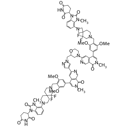 COc1cc(-c2cn(C)c(=O)c3cnc(-c4cnn(CC5CN(c6cc7c(-c8cc(OC)c(CN9CCC%10(CN(c%11cccc%12c%11n(C)c(=O)n%12C%11CCC(=O)NC%11=O)C%10)C(F)(F)C9)c(OC)c8)cn(C)c(=O)c7cn6)CCO5)c4)cc23)cc(OC)c1CN1CCC2(CCN(c3cccc4c3n(C)c(=O)n4C3CCC(=O)NC3=O)CC2)C(F)(F)C1